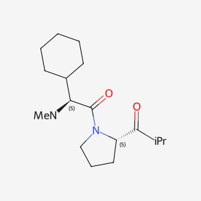 CN[C@H](C(=O)N1CCC[C@H]1C(=O)C(C)C)C1CCCCC1